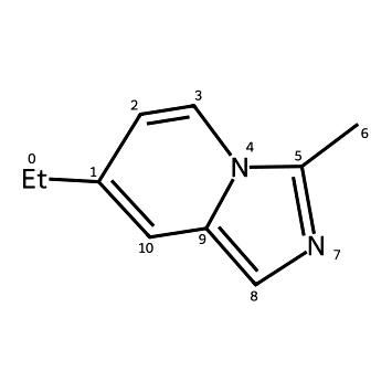 CCc1ccn2c(C)ncc2c1